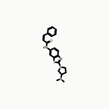 CN(C)C1CCN(c2nc3ccc(NC(=O)/C=C\c4ccccc4)cc3s2)C1